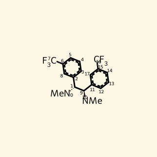 CN[C@H](c1cccc(C(F)(F)F)c1)[C@H](NC)c1cccc(C(F)(F)F)c1